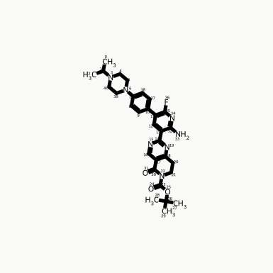 CC(C)N1CCN(c2ccc(-c3cc(-c4ncc5c(n4)CCN(C(=O)OC(C)(C)C)C5=O)c(N)nc3F)cc2)CC1